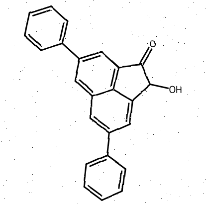 O=C1c2cc(-c3ccccc3)cc3cc(-c4ccccc4)cc(c23)C1O